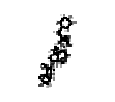 O=C(N[C@H]1CO[C@H]2[C@@H]1OC[C@@H]2n1cc(CC2CCCCC2)nn1)c1ccco1